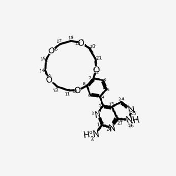 Nc1nc(-c2ccc3c(c2)OCCOCCOCCOCCO3)c2cn[nH]c2n1